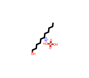 CCCCCCCCCCCO.N.O=S(=O)(O)O